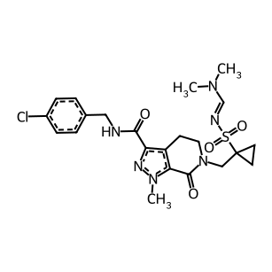 CN(C)C=NS(=O)(=O)C1(CN2CCc3c(C(=O)NCc4ccc(Cl)cc4)nn(C)c3C2=O)CC1